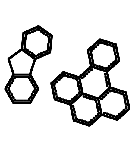 c1ccc2c(c1)Cc1ccccc1-2.c1ccc2c(c1)c1cccc3ccc4cccc2c4c31